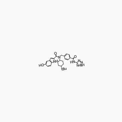 CC(C)(C)C1CCC(N(Cc2ccc(C(=O)Nc3nn[nH]n3)cc2)C(=O)c2cc3cc(O)ccc3[nH]2)CC1